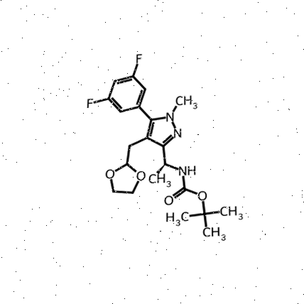 C[C@H](NC(=O)OC(C)(C)C)c1nn(C)c(-c2cc(F)cc(F)c2)c1CC1OCCO1